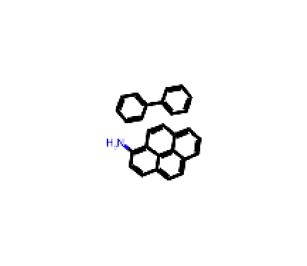 Nc1ccc2ccc3cccc4ccc1c2c34.c1ccc(-c2ccccc2)cc1